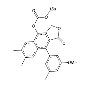 COc1cc(C)cc(-c2c3c(c(OC(=O)OC(C)(C)C)c4cc(C)c(C)cc24)COC3=O)c1